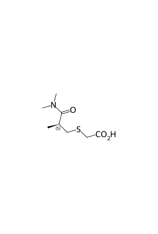 C[C@H](CSCC(=O)O)C(=O)N(C)C